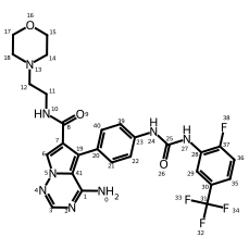 Nc1ncnn2cc(C(=O)NCCN3CCOCC3)c(-c3ccc(NC(=O)Nc4cc(C(F)(F)F)ccc4F)cc3)c12